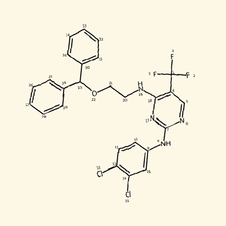 FC(F)(F)c1cnc(Nc2ccc(Cl)c(Cl)c2)nc1NCCOC(c1ccccc1)c1ccccc1